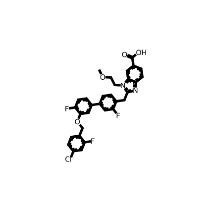 COCCn1c(Cc2ccc(-c3ccc(F)c(OCc4ccc(Cl)cc4F)c3)cc2F)nc2ccc(C(=O)O)cc21